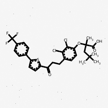 CC(C)(C)CC(C)(Oc1ccc(CCC(=O)c2ccc(-c3ccc(C(F)(F)F)cc3)s2)c(Cl)c1Cl)C(=O)O